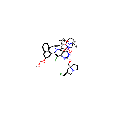 COCOc1cc(-c2ncc3c(N4C[C@H]5CC[C@@H](C4)N5C(=O)O)nc(OCC45CCCN4CC(=CF)C5)nc3c2F)c2c(C#C[Si](C(C)C)(C(C)C)C(C)C)cccc2c1